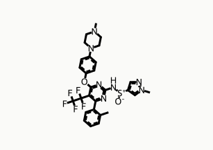 Cc1ccccc1-c1nc(N[S+]([O-])c2cnn(C)c2)nc(Oc2ccc(N3CCN(C)CC3)cc2)c1C(F)(F)C(F)(F)F